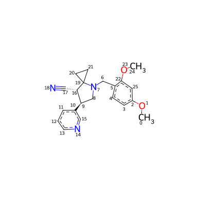 COc1ccc(CN2C[C@@H](c3cccnc3)[C@H](C#N)C23CC3)c(OC)c1